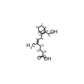 C/C(=C/CC1C2CCC(O2)C1CO)CCCC(=O)O